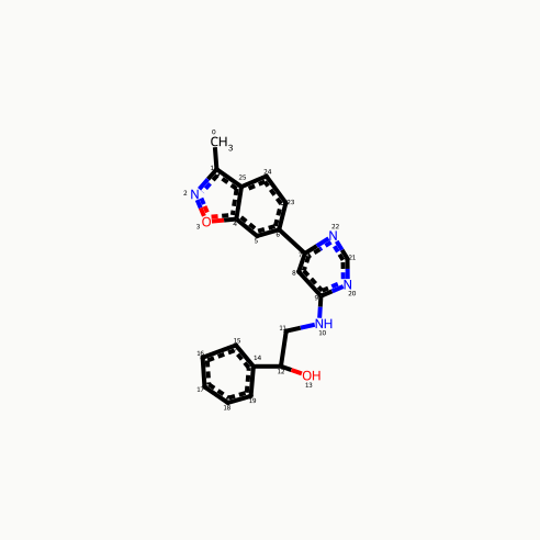 Cc1noc2cc(-c3cc(NCC(O)c4ccccc4)ncn3)ccc12